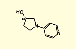 O[C@H]1CCN(c2ccncc2)C1